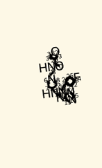 O=C(NCCN1CCC(Nc2nc3cncnc3n2Cc2ccc(F)cc2)CC1)c1ccoc1